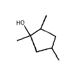 CC1CC(C)C(C)(O)C1